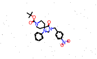 CC(C)(C)OC(=O)N1CCC2(CC1)C(=O)N(Cc1ccc([N+](=O)[O-])cc1)CN2c1ccccc1